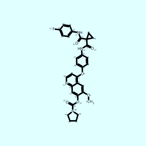 COc1cc2c(Oc3ccc(NC(=O)C4(C(=O)Nc5ccc(F)cc5)CC4)cc3)ccnc2cc1OC(=O)N1CCCC1